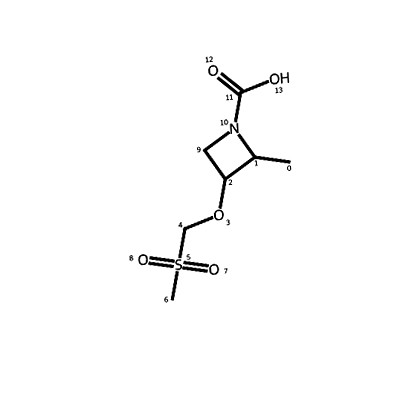 CC1C(OCS(C)(=O)=O)CN1C(=O)O